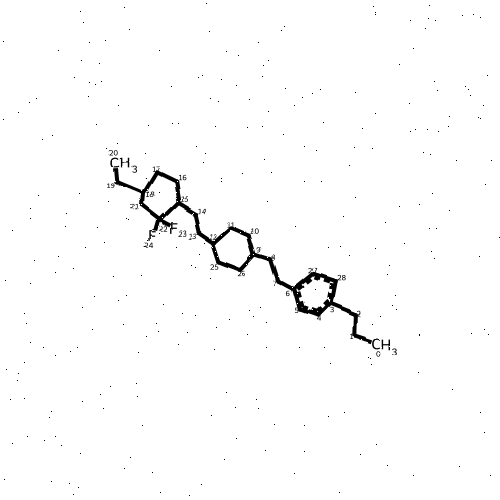 CCCc1ccc(CCC2CCC(CCC3CCC(CC)CC3(F)F)CC2)cc1